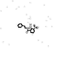 O=C(NC=Cc1ccccc1)c1cccc([N+](=O)[O-])c1O